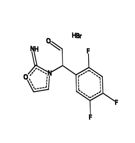 Br.N=c1occn1C(C=O)c1cc(F)c(F)cc1F